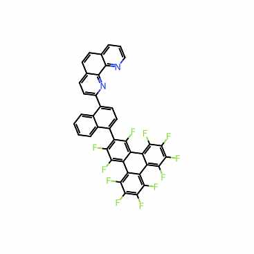 Fc1c(F)c(F)c2c(c1F)c1c(F)c(F)c(F)c(F)c1c1c(F)c(-c3ccc(-c4ccc5ccc6cccnc6c5n4)c4ccccc34)c(F)c(F)c21